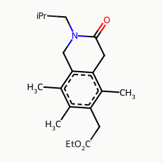 CCOC(=O)Cc1c(C)c(C)c2c(c1C)CC(=O)N(CC(C)C)C2